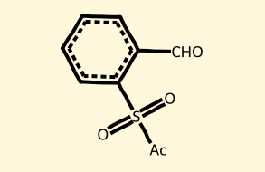 CC(=O)S(=O)(=O)c1ccccc1C=O